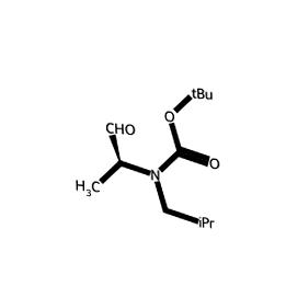 CC(C)CN(C(=O)OC(C)(C)C)[C@@H](C)C=O